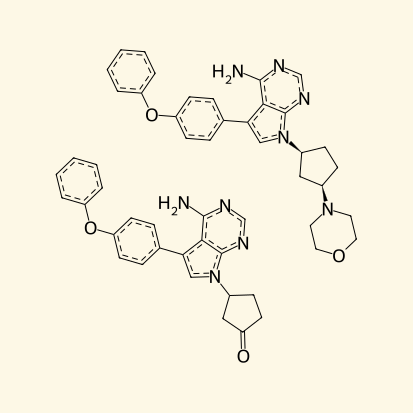 Nc1ncnc2c1c(-c1ccc(Oc3ccccc3)cc1)cn2C1CCC(=O)C1.Nc1ncnc2c1c(-c1ccc(Oc3ccccc3)cc1)cn2[C@H]1CC[C@@H](N2CCOCC2)C1